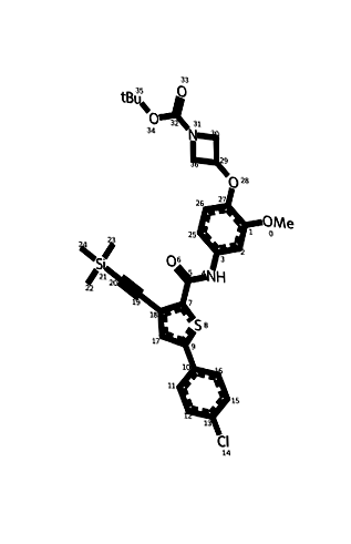 COc1cc(NC(=O)c2sc(-c3ccc(Cl)cc3)cc2C#C[Si](C)(C)C)ccc1OC1CN(C(=O)OC(C)(C)C)C1